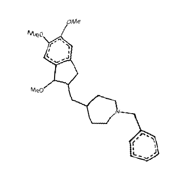 COc1cc2c(cc1OC)C(OC)C(CC1CCN(Cc3ccccc3)CC1)C2